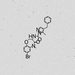 Cc1c(Cc2ccccc2)cnn1C(=O)NC1COc2ccc(Br)cc2N(C)C1=O